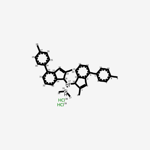 CC1=Cc2c(-c3ccc(C)cc3)cccc2[CH]1[Hf]([CH]1C(C)=Cc2c(-c3ccc(C)cc3)cccc21)[SiH](C)C.Cl.Cl